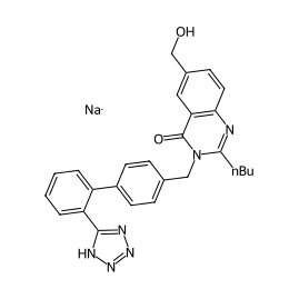 CCCCc1nc2ccc(CO)cc2c(=O)n1Cc1ccc(-c2ccccc2-c2nnn[nH]2)cc1.[Na]